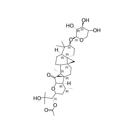 CC(=O)O[C@@H](C1C[C@@H](C)[C@H]2C(O1)C(=O)[C@@]1(C)C3CC[C@H]4C(C)(C)[C@@H](O[C@@H]5OCC(O)[C@H](O)[C@H]5O)CC[C@@]45C[C@@]35CC[C@]21C)C(C)(C)O